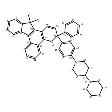 CC1(C)c2ccccc2-c2c1c1c(c3ccccc23)OC(c2ccccc2)(c2ccc(N3CCC(N4CCCCC4)CC3)cc2)C=C1